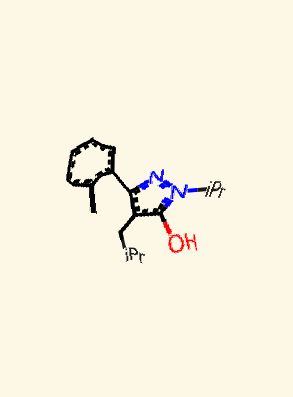 Cc1ccccc1-c1nn(C(C)C)c(O)c1CC(C)C